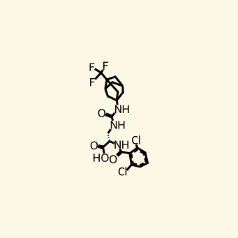 O=C(NC[C@H](NC(=O)c1c(Cl)cccc1Cl)C(=O)O)NC12CC3CC(C1)C(C(F)(F)F)(C3)C2